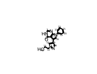 O=c1[nH]cnc2c1c(-c1cnn(CCO)c1)cn2-c1ccccc1